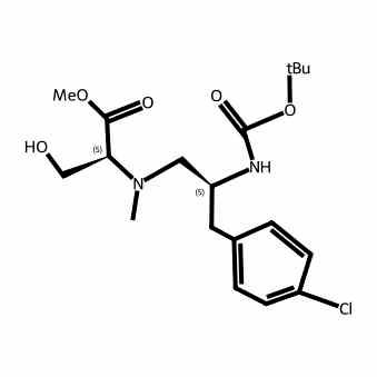 COC(=O)[C@H](CO)N(C)C[C@H](Cc1ccc(Cl)cc1)NC(=O)OC(C)(C)C